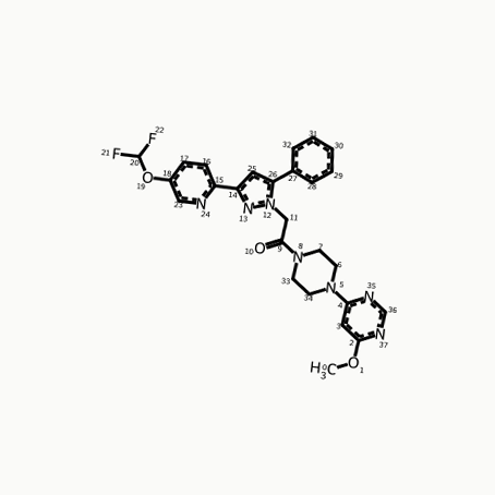 COc1cc(N2CCN(C(=O)Cn3nc(-c4ccc(OC(F)F)cn4)cc3-c3ccccc3)CC2)ncn1